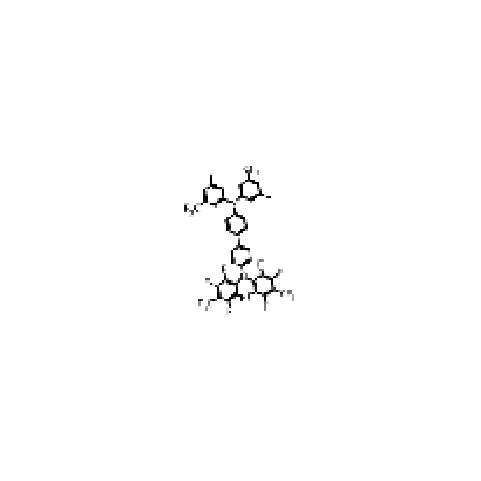 Cc1cc(N(c2ccc(-c3ccc(N(c4c(F)c(F)c(C(F)(F)F)c(F)c4F)c4c(F)c(F)c(C(F)(F)F)c(F)c4F)cc3)cc2)c2cc(C)cc(C(F)(F)F)c2)cc(C(F)(F)F)c1